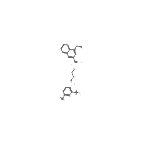 CCC(C)(C)c1ccc(OCCCCNC(=O)c2cc(CC(S)C(=O)O)c3ccccc3c2O)c(C(C)(C)CC)c1